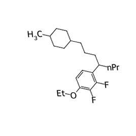 CCCC(CCCC1CCC(C)CC1)c1ccc(OCC)c(F)c1F